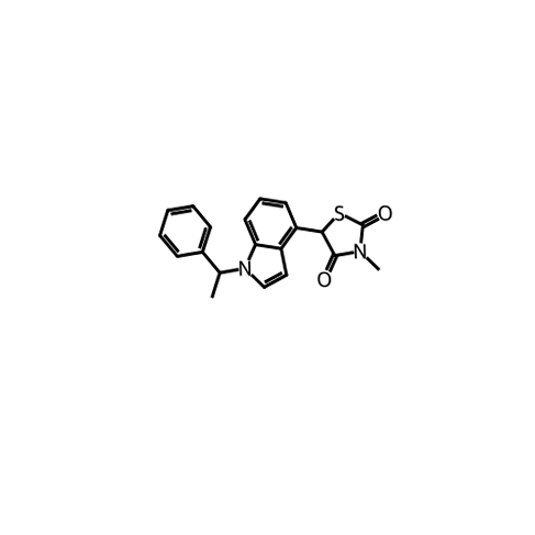 CC(c1ccccc1)n1ccc2c(C3SC(=O)N(C)C3=O)cccc21